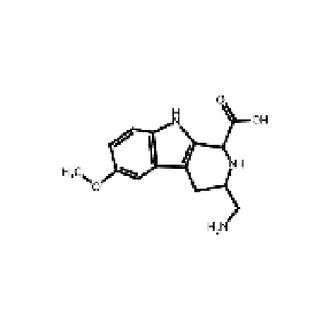 COc1ccc2[nH]c3c(c2c1)CC(CN)NC3C(=O)O